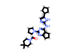 CC1(C)CCN(C(=O)[C@@H]2CCCN2c2nc3c(c(Nc4ncc(C5CCCC5)[nH]4)n2)CCC3)CC1